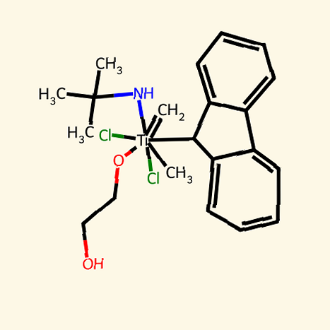 [CH2]=[Ti]([CH3])([Cl])([Cl])([NH]C(C)(C)C)([O]CCO)[CH]1c2ccccc2-c2ccccc21